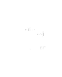 CCCc1ccc(C)c(C=O)c1O